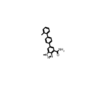 Cc1ccccc1-c1ccc(-c2cc(C(N)=O)c3nnn(C)c3c2)cc1